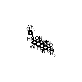 CN(C)c1cc(NCc2ccc(OC(F)(F)F)cc2)c(O)c2c1C[C@@H]1C[C@@H]3[C@@H](N(C)C)C(O)=C(C(N)=O)C(=O)[C@]3(O)C(O)=C1C2=O